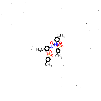 Cc1ccc(S(=O)(=O)Oc2cc(C)ccc2NC(=O)Nc2ccc(C)cc2OS(=O)(=O)c2ccc(C)cc2)cc1